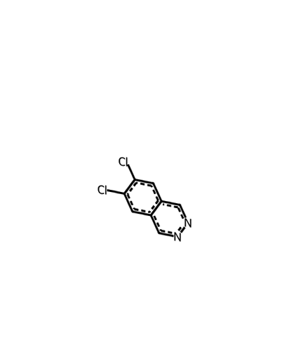 Clc1cc2cnncc2cc1Cl